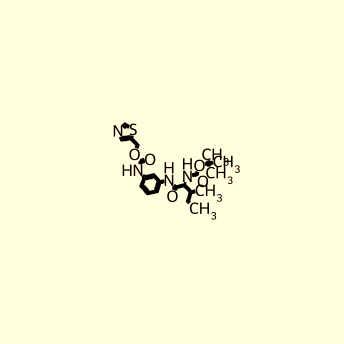 CCC(C)[C@H](NC(=O)OC(C)(C)C)C(=O)Nc1cccc(NC(=O)OCc2cncs2)c1